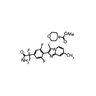 COC(=O)N1CCO[C@@H](Cc2c(-c3c(F)cc(C(F)(F)C(N)=O)cc3F)nc3cc(C)ccn23)C1